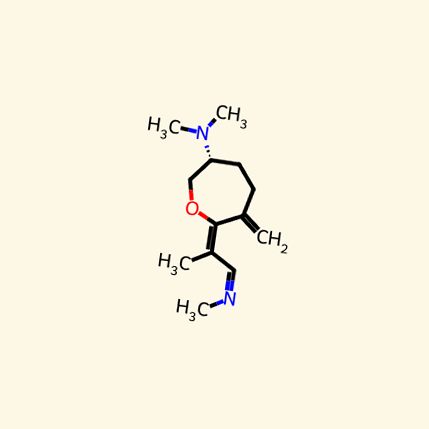 C=C1CC[C@@H](N(C)C)CO/C1=C(C)/C=N\C